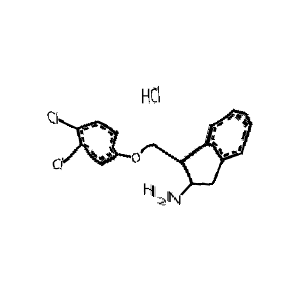 Cl.NC1Cc2ccccc2C1COc1ccc(Cl)c(Cl)c1